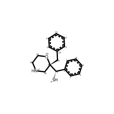 S[C@@H](c1ccccc1)[C@]1(Cc2ccccc2)CNCCO1